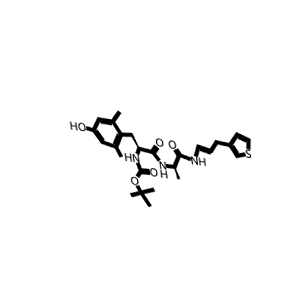 Cc1cc(O)cc(C)c1C[C@H](NC(=O)OC(C)(C)C)C(=O)N[C@H](C)C(=O)N/C=C/Cc1ccsc1